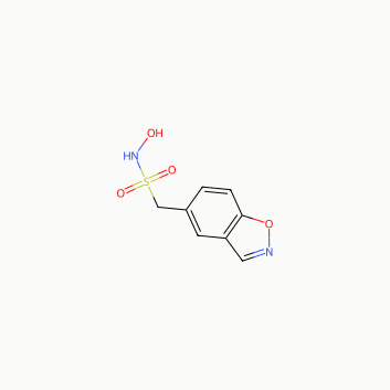 O=S(=O)(Cc1ccc2oncc2c1)NO